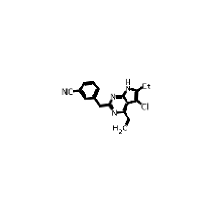 C=Cc1nc(Cc2cccc(C#N)c2)nc2[nH]c(CC)c(Cl)c12